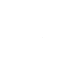 CC(=O)NC(Cc1ccc2ccccc2n1)c1c(F)cccc1F